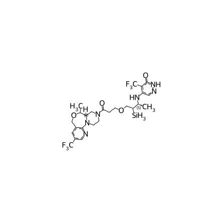 CC1OCc2cc(C(F)(F)F)cnc2N2CCN(C(=O)CCOCC([SiH3])[C@H](C)Nc3cn[nH]c(=O)c3C(F)(F)F)C[C@H]12